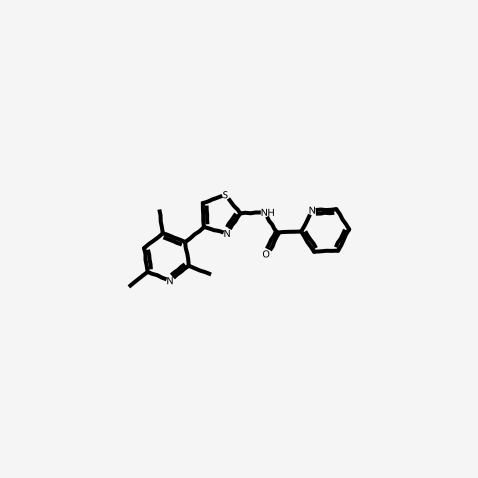 Cc1cc(C)c(-c2csc(NC(=O)c3ccccn3)n2)c(C)n1